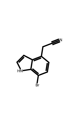 N#CCc1ccc(Br)c2[nH]ccc12